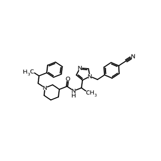 CC(CN1CCCC(C(=O)NC(C)c2cncn2Cc2ccc(C#N)cc2)C1)c1ccccc1